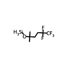 CC(C)(CCC(F)(F)C(F)(F)F)O[SiH3]